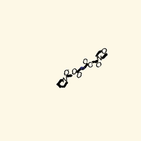 O=C(/C=C/C(=O)OCC(=O)N1CCOCC1)OCC(=O)N1CCCCC1